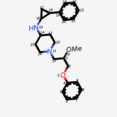 COC(COc1ccccc1)CN1CCC(NC2CC2c2ccccc2)CC1